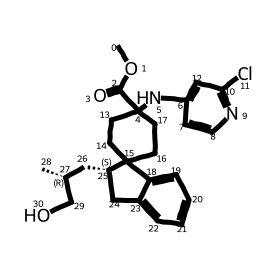 COC(=O)C1(Nc2ccnc(Cl)c2)CCC2(CC1)c1ccccc1C[C@@H]2C[C@@H](C)CO